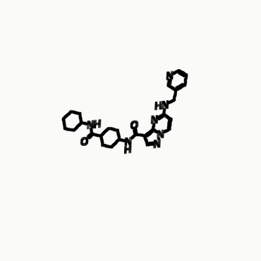 O=C(NC1CCC(C(=O)NC2CCCCC2)CC1)c1cnn2ccc(NCc3cccnc3)nc12